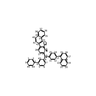 c1ccc(-c2cccc(N(c3ccc(-c4cccc5ccccc45)cc3)c3ccc4c(n3)oc3c5ccccc5ccc43)c2)cc1